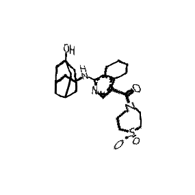 O=C(c1cnc(NC23CC4CC(CC(O)(C4)C2)C3)c2c1CCCC2)N1CCS(=O)(=O)CC1